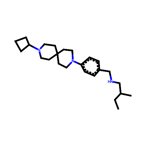 CCC(C)CNCc1ccc(N2CCC3(CC2)CCN(C2CCC2)CC3)cc1